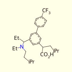 CCC(c1cc(-c2ccc(C(F)(F)F)cc2)cc(C(CC(C)C)C(=O)O)c1)N(CC)CCC(C)C